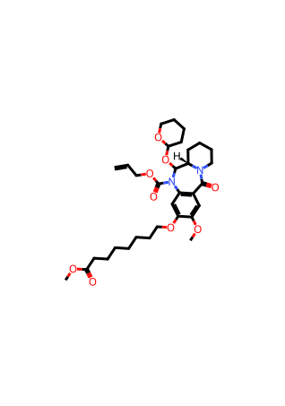 C=CCOC(=O)N1c2cc(OCCCCCCCC(=O)OC)c(OC)cc2C(=O)N2CCCC[C@H]2C1OC1CCCCO1